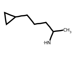 CC([NH])CCCC1CC1